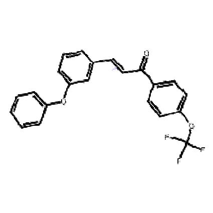 O=C(/C=C/c1cccc(Oc2ccccc2)c1)c1ccc(OC(F)(F)F)cc1